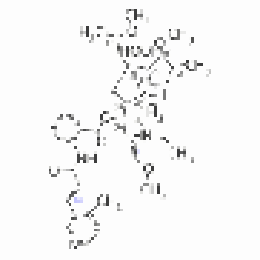 CCNC[C@@](C/C=C/OC)(OC(=O)c1ccccc1NC(=O)/C=C/c1cnccc1C)[C@H]1CC2C[C@]1(C)[C@@H]1C[C@H](C)[C@H](OC)[C@]1(O)[C@]2(O)C[C@@H](C)OC